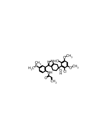 C=CC(=O)Nc1ccc(N(C)C)cc1-c1n[nH]c2c1CC[C@@](O)(c1c(Cl)c(OC)cc(OC)c1Cl)C2